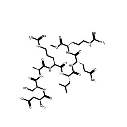 COC(=O)[C@H](CCCNC(=N)N)NC(=O)[C@H](CCC(N)=O)NC(=O)[C@H](CC(C)C)NC(=O)[C@H](CCCNC(=N)N)NC(=O)[C@H](C)NC(=O)[C@H](CO)NC(=O)[C@@H](N)CC(=O)O